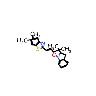 Cc1cc2nc(C=CC3ON4c5ccccc5CC4C3(C)C)sc2cc1C